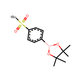 CC1(C)OB(c2ccc(S(=O)(=O)C(C)(C)C)cc2)OC1(C)C